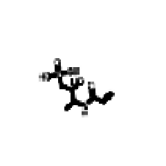 C=CC(=O)NC(C)C(O)CP(=O)(O)O